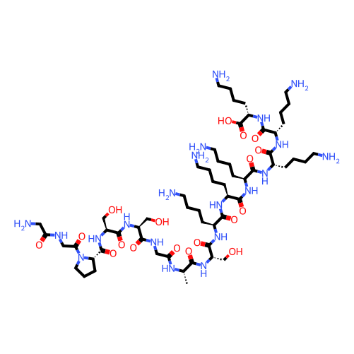 C[C@H](NC(=O)CNC(=O)[C@H](CO)NC(=O)[C@H](CO)NC(=O)[C@@H]1CCCN1C(=O)CNC(=O)CN)C(=O)N[C@@H](CO)C(=O)N[C@@H](CCCCN)C(=O)N[C@@H](CCCCN)C(=O)N[C@@H](CCCCN)C(=O)N[C@@H](CCCCN)C(=O)N[C@@H](CCCCN)C(=O)N[C@@H](CCCCN)C(=O)O